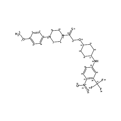 COc1ccc(N2CCN(C(=S)COC3CCC(Nc4ccc([N+](=O)[O-])c(C(F)(F)F)c4)CC3)CC2)cc1